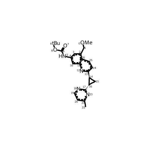 COCc1cc(NC(=O)OC(C)(C)C)cc2nc([C@H]3C[C@@H]3c3nccc(C)n3)ccc12